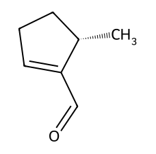 C[C@H]1CCC=C1C=O